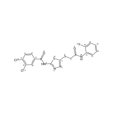 O=C(CSc1nnc(NC(=O)c2ccc(Cl)c(Cl)c2)s1)Nc1ccccc1F